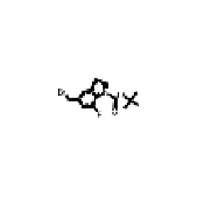 CC(C)(C)OC(=O)n1ccc2cc(CBr)cc(F)c21